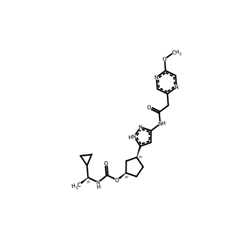 COc1cnc(CC(=O)Nc2cc([C@H]3CC[C@@H](OC(=O)N[C@@H](C)C4CC4)C3)[nH]n2)cn1